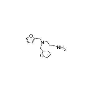 NCCCN(Cc1ccco1)CC1CCCO1